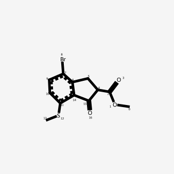 COC(=O)C1Cc2c(Br)ccc(SC)c2C1=O